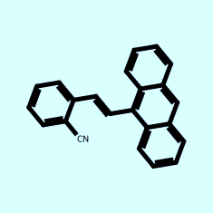 N#Cc1ccccc1/C=C/c1c2ccccc2cc2ccccc12